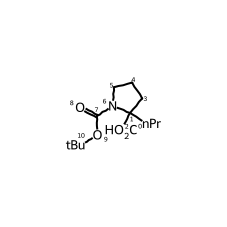 CCCC1(C(=O)O)CCCN1C(=O)OC(C)(C)C